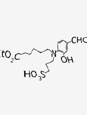 CCOC(=O)CCCCCN(CCCS(=O)(=O)O)c1ccc(C=O)cc1O